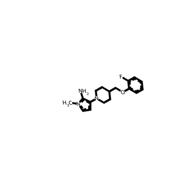 Cn1ccc(N2CCC(COc3ccccc3F)CC2)c1N